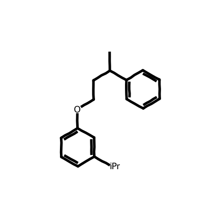 CC(C)c1cccc(OCCC(C)c2ccccc2)c1